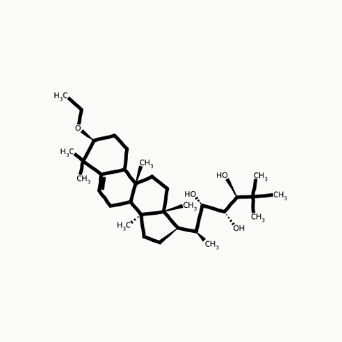 CCO[C@H]1CCC2C(=CCC3[C@@]2(C)CC[C@]2(C)[C@@H]([C@H](C)[C@H](O)[C@@H](O)[C@@H](O)C(C)(C)C)CC[C@@]32C)C1(C)C